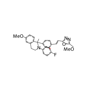 COCc1nnc(C=Cc2ccc(C3(C)c4ccc(OC)cc4CCN3c3ccc(F)cc3)cc2)o1